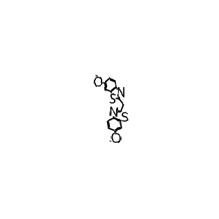 COc1ccc2nc(Cc3nc4ccc(OC)cc4s3)sc2c1